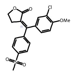 COc1ccc(/C(=C2/CCOC2=O)c2ccc(S(C)(=O)=O)cc2)cc1Cl